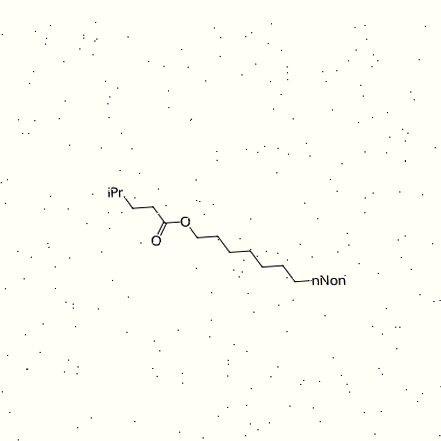 CCCCCCCCCCCCCCCCOC(=O)CCC(C)C